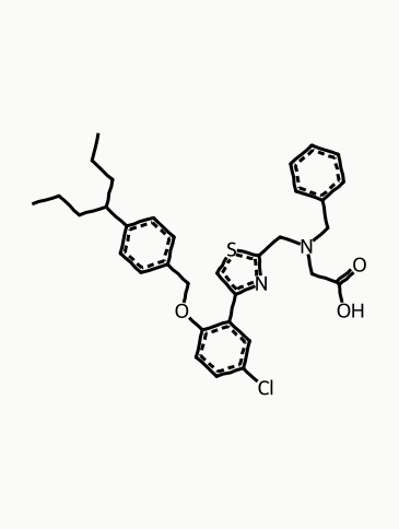 CCCC(CCC)c1ccc(COc2ccc(Cl)cc2-c2csc(CN(CC(=O)O)Cc3ccccc3)n2)cc1